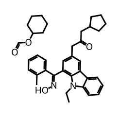 CCn1c2ccccc2c2cc(CC(=O)CC3CCCC3)cc(C(=NO)c3ccccc3C)c21.O=COC1CCCCC1